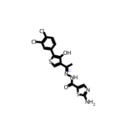 C/C(=N\NC(=O)c1cnc(N)s1)c1csc(-c2ccc(Cl)c(Cl)c2)c1O